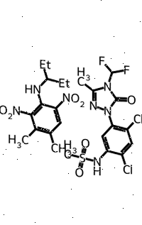 CCC(CC)Nc1c([N+](=O)[O-])cc(C)c(C)c1[N+](=O)[O-].Cc1nn(-c2cc(NS(C)(=O)=O)c(Cl)cc2Cl)c(=O)n1C(F)F